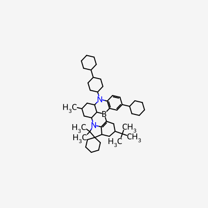 CC1CC2C3B(C4=C5C(CC(C(C)(C)C)C4)C4(CCCCC4)C(C)(C)N5C3C1)c1cc(C3CCCCC3)ccc1N2C1CCC(C2CCCCC2)CC1